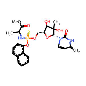 C=C1C=CN([C@@H]2O[C@H](COP(=S)(NC(C)C(=O)OC)Oc3cccc4ccccc34)C(O)C2(C)O)C(=O)N1